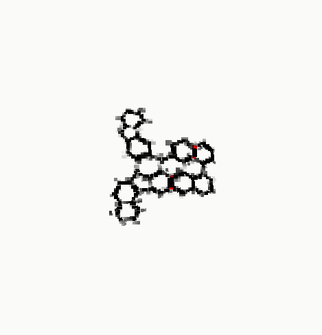 c1ccc(-c2cccc3cccc(-c4ccccc4N(c4ccc5oc6ccccc6c5c4)c4cccc5c4sc4ccc6ccccc6c45)c23)cc1